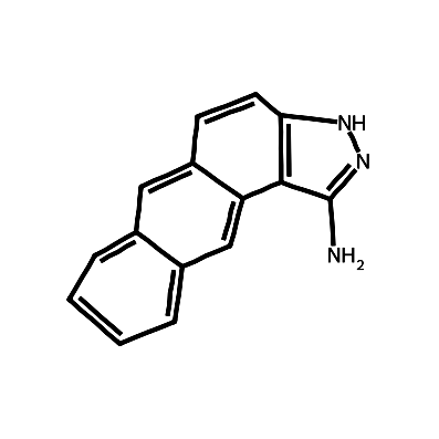 Nc1n[nH]c2ccc3cc4ccccc4cc3c12